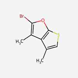 Cc1csc2oc(Br)c(C)c12